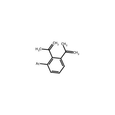 C=C(C)c1cccc(C(C)=O)c1C(=C)C